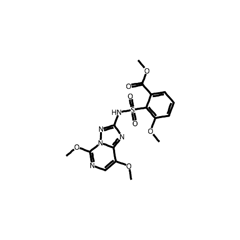 COC(=O)c1cccc(OC)c1S(=O)(=O)Nc1nc2c(OC)cnc(OC)n2n1